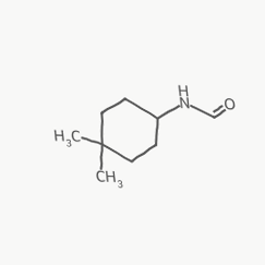 CC1(C)CCC(NC=O)CC1